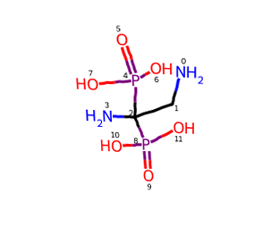 NCC(N)(P(=O)(O)O)P(=O)(O)O